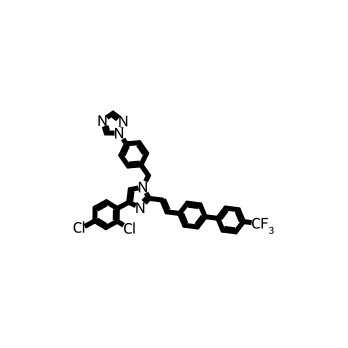 FC(F)(F)c1ccc(-c2ccc(C=Cc3nc(-c4ccc(Cl)cc4Cl)cn3Cc3ccc(-n4cncn4)cc3)cc2)cc1